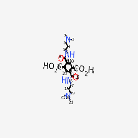 CN(C)CCCNC(=O)c1cc(C(=O)O)c(C(=O)NCCCN(C)C)cc1C(=O)O